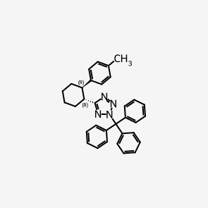 Cc1ccc([C@@H]2CCCC[C@H]2c2nnn(C(c3ccccc3)(c3ccccc3)c3ccccc3)n2)cc1